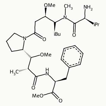 CC[C@H](C)C([C@@H](CC(=O)N1CCC[C@H]1C(OC)[C@@H](C)C(=O)N[C@@H](Cc1ccccc1)C(=O)OC)OC)N(C)C(=O)[C@@H](N)C(C)C